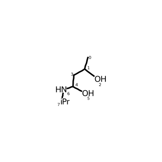 CC(O)CC(O)NC(C)C